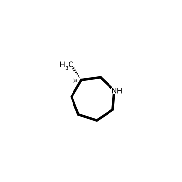 C[C@H]1CCCCNC1